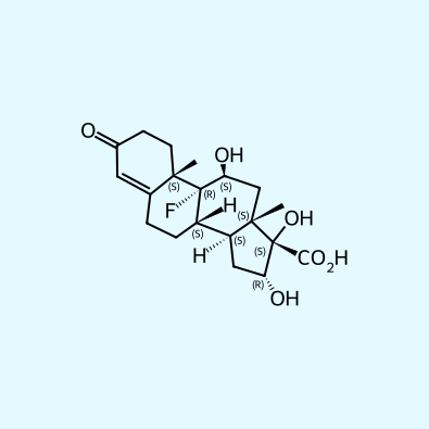 C[C@]12CCC(=O)C=C1CC[C@H]1[C@@H]3C[C@@H](O)[C@](O)(C(=O)O)[C@@]3(C)C[C@H](O)[C@@]12F